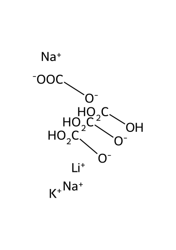 O=C(O)O.O=C([O-])O.O=C([O-])O.O=C([O-])[O-].[K+].[Li+].[Na+].[Na+]